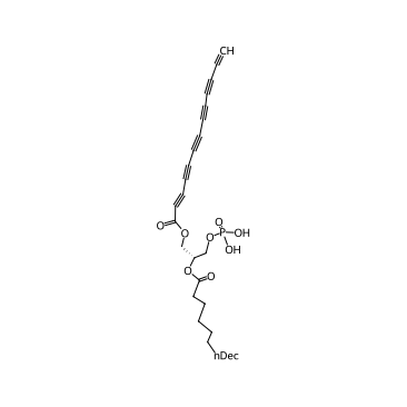 C#CC#CC#CC#CC#CC#CC(=O)OC[C@H](COP(=O)(O)O)OC(=O)CCCCCCCCCCCCCCC